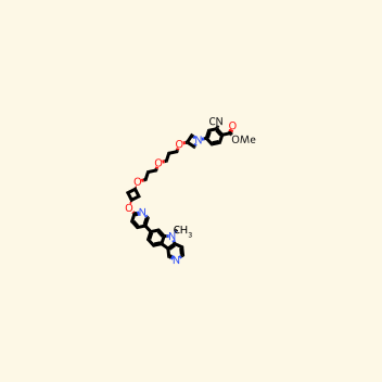 COC(=O)c1ccc(N2CC(OCCCOCCCO[C@H]3C[C@H](Oc4ccc(-c5ccc6c7cnccc7n(C)c6c5)cn4)C3)C2)cc1C#N